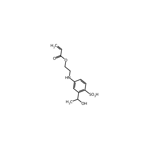 C=CC(=O)OCCNc1ccc(S(=O)(=O)O)c(C(C)O)c1